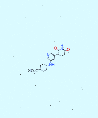 O=C1CCC(c2cncc(N[C@H]3CC[C@H](C(=O)O)CC3)c2)C(=O)N1